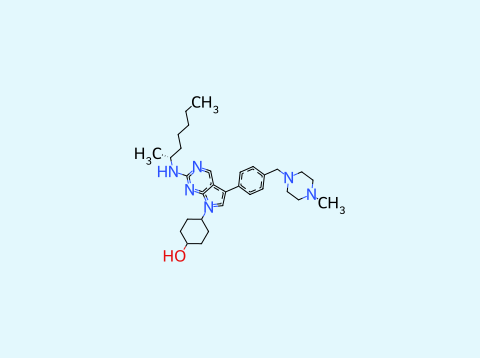 CCCCC[C@@H](C)Nc1ncc2c(-c3ccc(CN4CCN(C)CC4)cc3)cn(C3CCC(O)CC3)c2n1